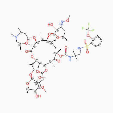 CO/N=C1\C[C@@H](C)O[C@@H](O[C@@H]2[C@@H](C)[C@H](O[C@H]3CC(C)N(C)C[C@H](C)O3)[C@@H](C)C(=O)O[C@H](C(C)CO[C@@H]3O[C@H](C)[C@@H](O)[C@@H](OC)[C@H]3OC)[C@H](C)[C@@H](OC(=O)CC(C)C)[C@@H](C)C(=O)[C@@](C)(OC(=O)NC(C)(C)CNS(=O)(=O)c3ccccc3OC(F)(F)F)C[C@@H]2C)[C@@H]1O